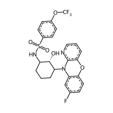 O=S(=O)(NC1CCCC(N2c3cc(F)ccc3Oc3cccnc32)[C@H]1O)c1ccc(OC(F)(F)F)cc1